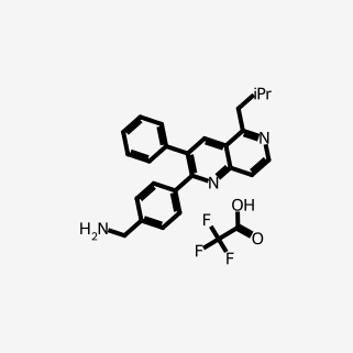 CC(C)Cc1nccc2nc(-c3ccc(CN)cc3)c(-c3ccccc3)cc12.O=C(O)C(F)(F)F